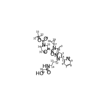 C[C@@H](c1cc(-c2ccccn2)n(CCCNC(=O)CO)n1)N(C(=O)[C@H]1CN(C(=O)OC(C)(C)C)CCO1)C1CC1